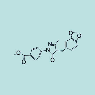 COC(=O)c1ccc(N2N=C(C)C(=Cc3ccc4c(c3)OCO4)C2=O)cc1